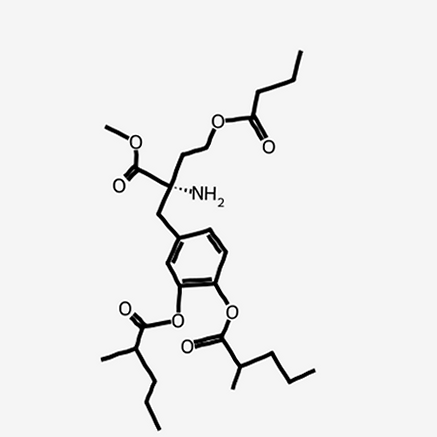 CCCC(=O)OCC[C@@](N)(Cc1ccc(OC(=O)C(C)CCC)c(OC(=O)C(C)CCC)c1)C(=O)OC